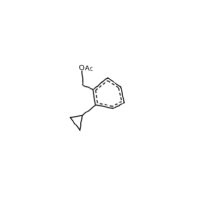 CC(=O)OCc1ccccc1C1CC1